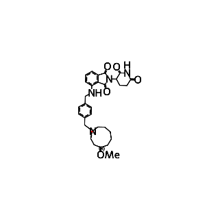 CO[C@@H]1CCCCC2CC(C1)N2Cc1ccc(CNc2cccc3c2C(=O)N(C2CCC(=O)NC2=O)C3=O)cc1